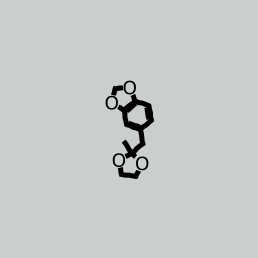 CC1(Cc2ccc3c(c2)OCO3)OCCO1